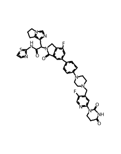 O=C1CCN(c2cc(CN3CCN(c4ccc(-c5cc(F)c6c(c5)C(=O)N(C(C(=O)Nc5nccs5)c5ncn7c5CCC7)C6)cc4)CC3)c(F)cn2)C(=O)N1